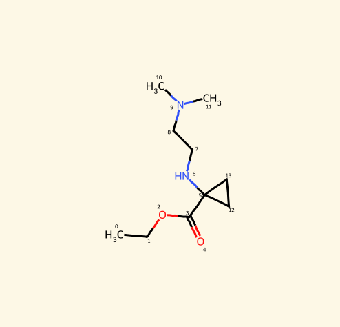 CCOC(=O)C1(NCCN(C)C)CC1